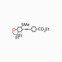 CCOC(=O)c1ccc(C#Cc2cc3c(cc2SC)OCCC3(CC)CC)cc1